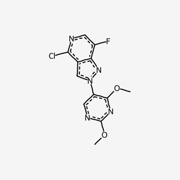 COc1ncc(-n2cc3c(Cl)ncc(F)c3n2)c(OC)n1